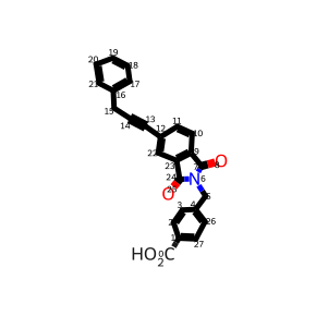 O=C(O)c1ccc(CN2C(=O)c3ccc(C#CCc4ccccc4)cc3C2=O)cc1